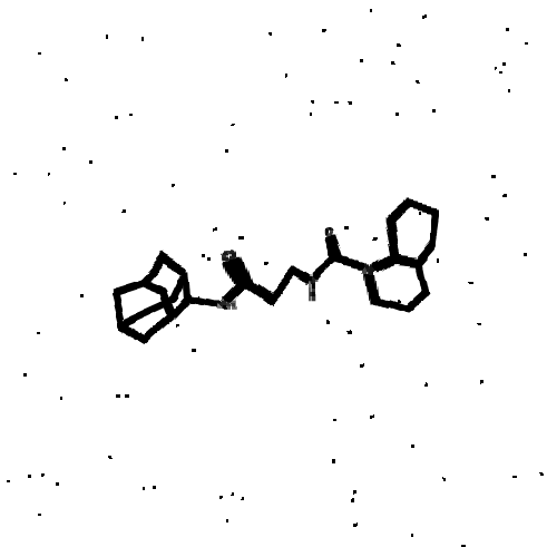 O=C(CCNC(=O)N1CCCC2CCCCC21)NC1C2CC3CC(C2)CC1C3